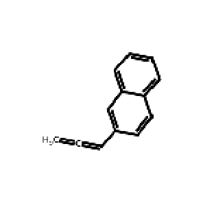 C=C=Cc1ccc2ccccc2c1